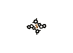 Cc1cc(C)cc(C2=CC3=C(CCc4ccccc43)C2S(C)(C)C2C(c3cc(C)cc(C)c3)=CC3=C2CCc2ccccc23)c1